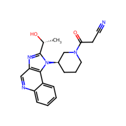 C[C@@H](O)c1nc2cnc3ccccc3c2n1[C@@H]1CCCN(C(=O)CC#N)C1